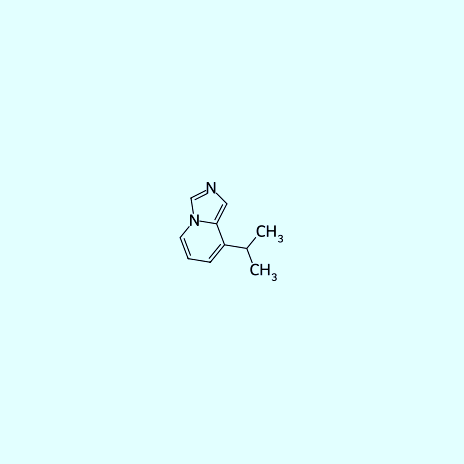 CC(C)c1cccn2cncc12